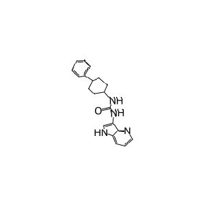 O=C(Nc1c[nH]c2cccnc12)NC1CCC(c2ccccc2)CC1